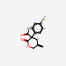 C=C1COC(=O)C(C(=O)OC)(c2ccc(Br)cc2)C1